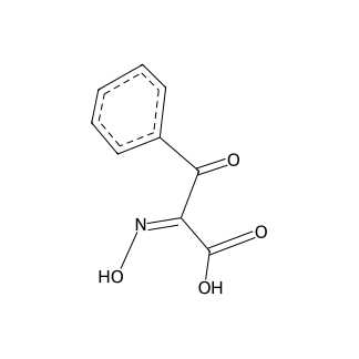 O=C(O)C(=NO)C(=O)c1ccccc1